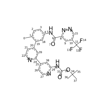 Cc1ccc(NC(=O)c2cc(C(F)(F)F)cnn2)cc1-c1ccnc(-c2ccnc(NC(=O)OC(C)(C)C)c2)c1